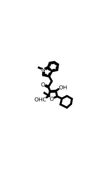 Cn1cc(CC(=O)C2=C(O)C(C3CCCCC3)OC2(C)C=O)c2ccccc21